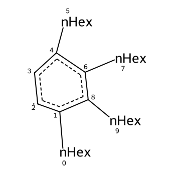 CCCCCCc1[c]cc(CCCCCC)c(CCCCCC)c1CCCCCC